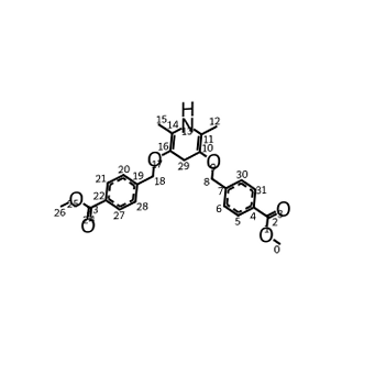 COC(=O)c1ccc(COC2=C(C)NC(C)=C(OCc3ccc(C(=O)OC)cc3)C2)cc1